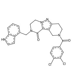 O=C(c1ccc(Cl)c(Cl)c1)N1CCc2nn3c(c2C1)C(=O)N(Cc1cccc2[nH]ccc12)CC3